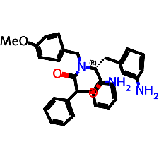 COc1ccc(CN(C(=O)C(c2ccccc2)c2ccccc2)[C@H](Cc2cccc(N)c2)C(N)=O)cc1